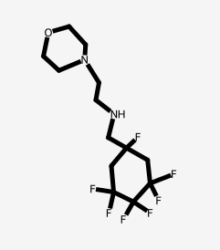 FC1(CNCCN2CCOCC2)CC(F)(F)C(F)(F)C(F)(F)C1